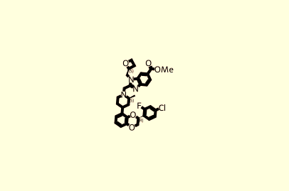 COC(=O)c1ccc2nc(CN3CCC(c4cccc5c4O[C@H](c4ccc(Cl)cc4F)CO5)C[C@@H]3C)n(C[C@@H]3CCO3)c2c1